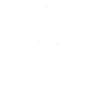 CCOc1cc2nc(CCC(C)(C)O)cn2cc1Br